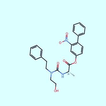 C[C@H](NC(=O)N(CCO)CCc1ccccc1)C(=O)Oc1ccc(-c2ccccc2)c([N+](=O)[O-])c1